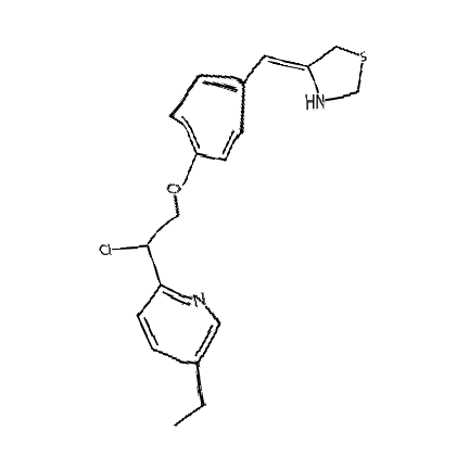 CCc1ccc(C(Cl)COc2ccc(C=C3CSCN3)cc2)nc1